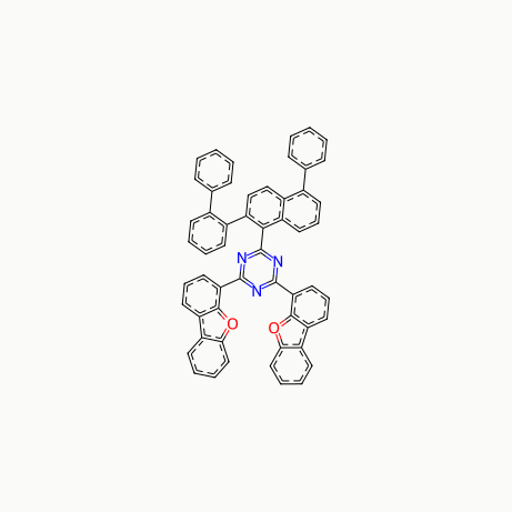 c1ccc(-c2ccccc2-c2ccc3c(-c4ccccc4)cccc3c2-c2nc(-c3cccc4c3oc3ccccc34)nc(-c3cccc4c3oc3ccccc34)n2)cc1